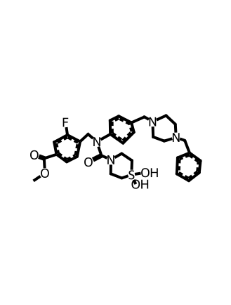 COC(=O)c1ccc(CN(C(=O)N2CCS(O)(O)CC2)c2ccc(CN3CCN(Cc4ccccc4)CC3)cc2)c(F)c1